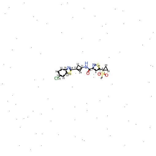 CS(=O)(=O)C1(c2cc(C(=O)NC34CC(c5nc6ccc(Cl)cc6s5)(C3)C4)ns2)CC1